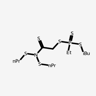 CCCSN(SCCC)C(=S)CSP(=S)(CC)SC(C)CC